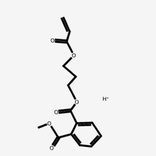 C=CC(=O)OCCCOC(=O)c1ccccc1C(=O)OC.[H+]